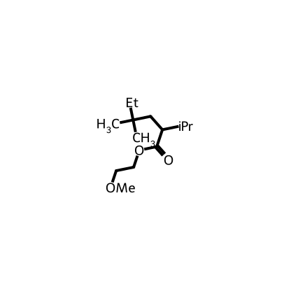 CCC(C)(C)CC(C(=O)OCCOC)C(C)C